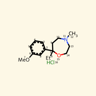 CCC1(c2cccc(OC)c2)CCN(C)CCO1.Cl